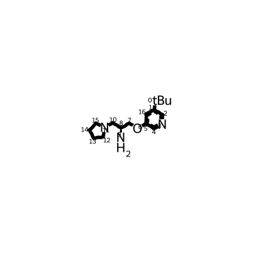 CC(C)(C)c1cncc(OC[C@@H](N)CN2CCCC2)c1